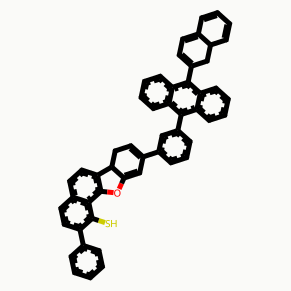 Sc1c(-c2ccccc2)ccc2ccc3c(c12)OC1=CC(c2cccc(-c4c5ccccc5c(C5=CC=C6C=CC=CC6C5)c5ccccc45)c2)=CCC13